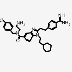 N=C(N)c1ccc(CCc2nc3cc(C(=O)N(CCN)Cc4ccc(Cl)cc4)ccc3n2CCC2CCCCC2)cc1